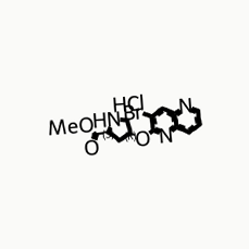 COC(=O)[C@@H]1C[C@@H](Oc2nc3cccnc3cc2Br)CN1.Cl